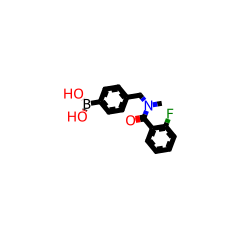 CN(Cc1ccc(B(O)O)cc1)C(=O)c1ccccc1F